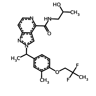 Cc1cc(C(C)n2cc3c(C(=O)NCC(C)O)nccc3n2)ccc1OCC(C)(F)F